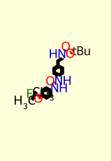 CC(C)(C)OC(=O)NCCc1ccc(NC(=O)Nc2ccc(OC(C)(C)F)cc2)cc1